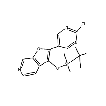 CC(C)(C)[Si](C)(C)Oc1c(-c2cnc(Cl)nc2)oc2cnccc12